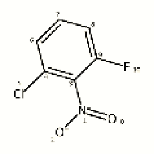 O=[N+]([O-])c1c(Cl)[c]ccc1F